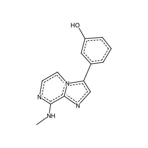 CNc1nccn2c(-c3cccc(O)c3)cnc12